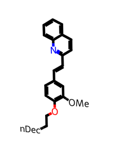 CCCCCCCCCCCCOc1ccc(C=Cc2ccc3ccccc3n2)cc1OC